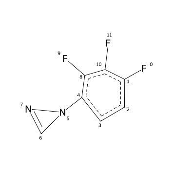 Fc1ccc(N2C=N2)c(F)c1F